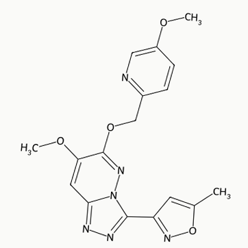 COc1ccc(COc2nn3c(-c4cc(C)on4)nnc3cc2OC)nc1